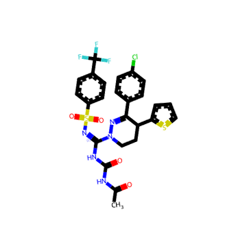 CC(=O)NC(=O)N/C(=N/S(=O)(=O)c1ccc(C(F)(F)F)cc1)N1CCC(c2cccs2)C(c2ccc(Cl)cc2)=N1